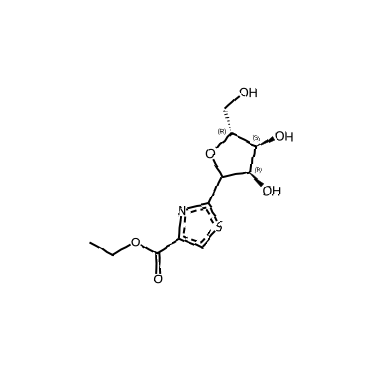 CCOC(=O)c1csc(C2O[C@H](CO)[C@@H](O)[C@H]2O)n1